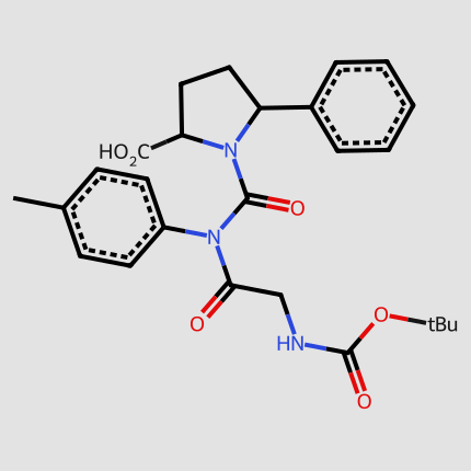 Cc1ccc(N(C(=O)CNC(=O)OC(C)(C)C)C(=O)N2C(C(=O)O)CCC2c2ccccc2)cc1